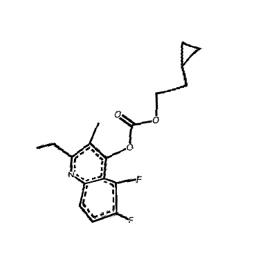 CCc1nc2ccc(F)c(F)c2c(OC(=O)OCCC2CC2)c1C